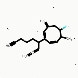 C#CCCCC(C=C=C)C1=C/C(=C)CC(F)C(C)/C=C\1